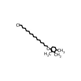 C=C1C(C)=C(OCCCCCCCCCCCCCCCCl)CCC1C